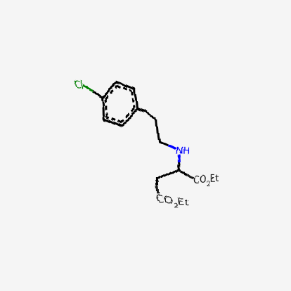 CCOC(=O)CC(NCCc1ccc(Cl)cc1)C(=O)OCC